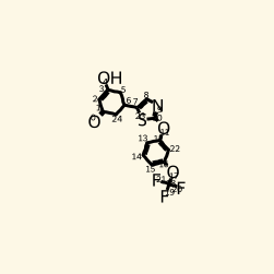 O=C1C=C(O)CC(c2cnc(Oc3cccc(OC(F)(F)F)c3)s2)C1